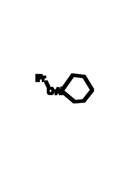 CC(C)[O][Al]1[CH2]CCC[CH2]1